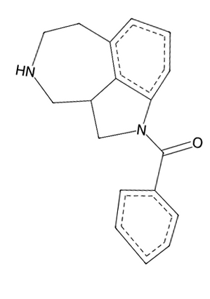 O=C(c1ccccc1)N1CC2CNCCc3cccc1c32